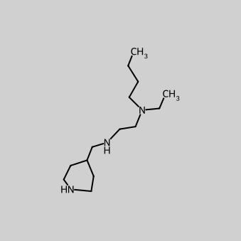 CCCCN(CC)CCNCC1CCNCC1